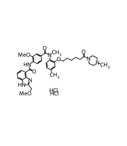 COCc1nc2c(C(=O)Nc3ccc(C(=O)N(C)c4ccc(C)cc4OCCCCCC(=O)N4CCN(C)CC4)cc3OC)cccc2[nH]1.Cl.Cl